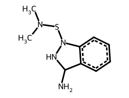 CN(C)SN1NC(N)c2ccccc21